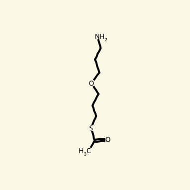 CC(=O)SCCCOCCCN